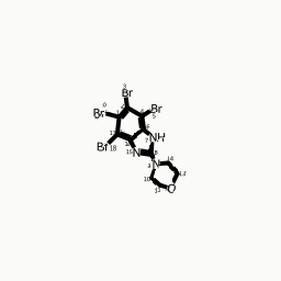 Brc1c(Br)c(Br)c2[nH]c(N3CCOCC3)nc2c1Br